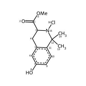 COC(=O)C1Cc2cc(O)ccc2C(C)(C)N1Cl